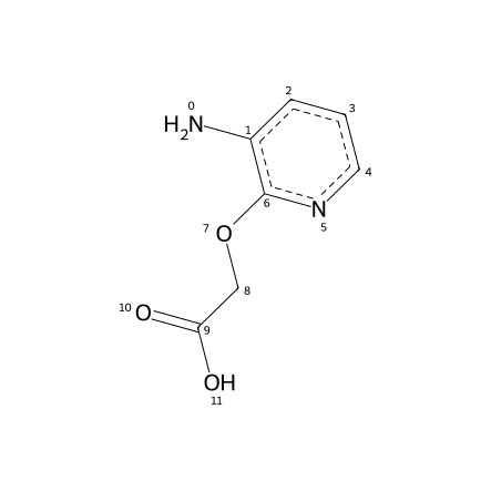 Nc1cccnc1OCC(=O)O